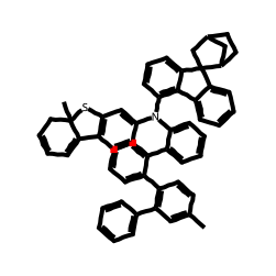 Cc1ccc(-c2ccccc2-c2ccccc2N(c2ccc3c(c2)SC2(C)CC=CC=C32)c2cccc3c2-c2ccccc2C32CC3CCC2C3)c(-c2ccccc2)c1